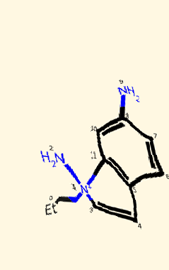 CC[N+]1(N)C=Cc2ccc(N)cc21